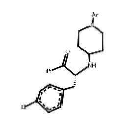 CC(=O)N1CCC(N[C@H](Cc2ccc(Cl)cc2)C(=O)C(C)C)CC1